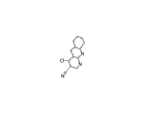 N#Cc1cnc2nc3ccccc3cc2c1Cl